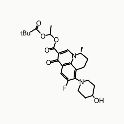 CC(OC(=O)c1cn2c3c(c(N4CCC(O)CC4)c(F)cc3c1=O)CC[C@@H]2C)OC(=O)C(C)(C)C